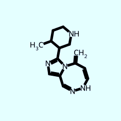 C=c1cc[nH]ncc2cnc(C3CNCCC3C)n12